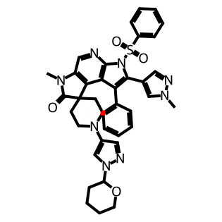 CN1C(=O)C2(CCN(c3cnn(C4CCCCO4)c3)CC2)c2c1cnc1c2c(-c2ccccc2)c(-c2cnn(C)c2)n1S(=O)(=O)c1ccccc1